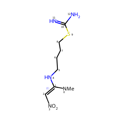 CN/C(=C\[N+](=O)[O-])NCCCCSC(=N)N